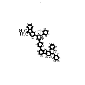 CC1(C)c2ccccc2-c2cc(C3=CC(c4ccc(-c5cccc6c5sc5c6ccc6c(-c7ccccc7)nc7ccccc7c65)cc4)=NC(c4ccccc4)N3)ccc21